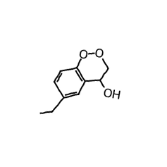 CCc1ccc2c(c1)C(O)COO2